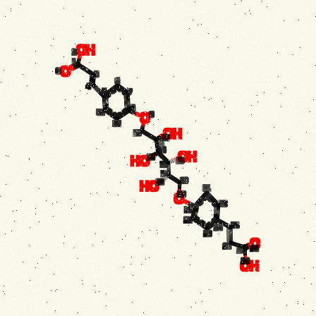 O=C(O)/C=C/c1ccc(OC[C@@H](O)[C@H](O)[C@H](O)[C@@H](O)COc2ccc(/C=C/C(=O)O)cc2)cc1